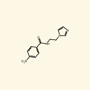 O=C(NCCn1ccnc1)c1ccc([N+](=O)[O-])cc1